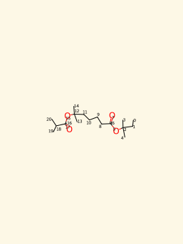 CCC(C)(C)OC(=O)CCCCC(C)(C)OC(=O)C(C)C